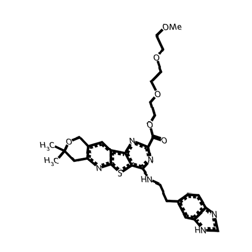 COCCOCCOCCOC(=O)c1nc(NCCc2ccc3nc[nH]c3c2)c2sc3nc4c(cc3c2n1)COC(C)(C)C4